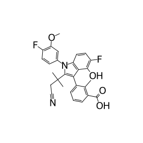 COc1cc(-n2c(C(C)(C)CC#N)c(-c3cccc(C(=O)O)c3C)c3c(O)c(F)ccc32)ccc1F